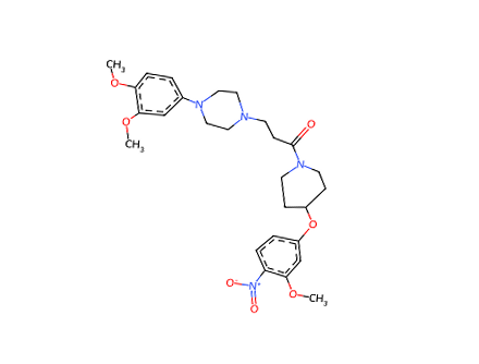 COc1ccc(N2CCN(CCC(=O)N3CCC(Oc4ccc([N+](=O)[O-])c(OC)c4)CC3)CC2)cc1OC